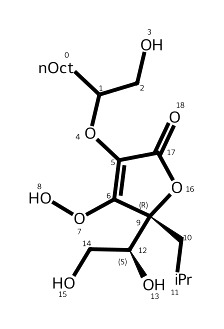 CCCCCCCCC(CO)OC1=C(OO)[C@@](CC(C)C)([C@@H](O)CO)OC1=O